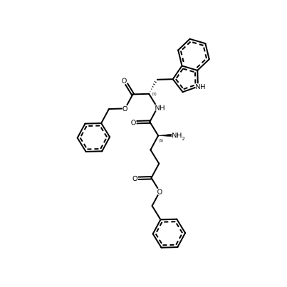 N[C@@H](CCC(=O)OCc1ccccc1)C(=O)N[C@@H](Cc1c[nH]c2ccccc12)C(=O)OCc1ccccc1